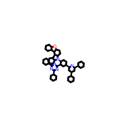 c1ccc(-c2cc(-c3ccccc3)nc(-c3ccc(-n4c5ccccc5c5c6c(ccc54)oc4ccccc46)c(-c4nc(-c5ccccc5)nc(-c5ccccc5)n4)c3)c2)cc1